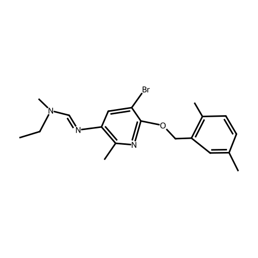 CCN(C)/C=N/c1cc(Br)c(OCc2cc(C)ccc2C)nc1C